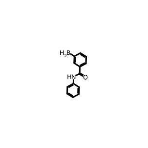 Bc1cccc(C(=O)Nc2ccccc2)c1